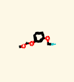 COCOc1cccc(OCF)c1